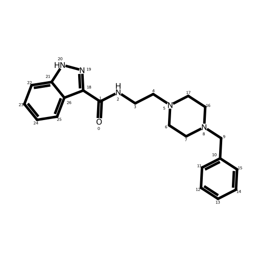 O=C(NCCN1CCN(Cc2ccccc2)CC1)c1n[nH]c2ccccc12